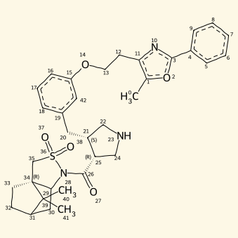 Cc1oc(-c2ccccc2)nc1CCOc1cccc(C[C@@H]2CNC[C@@H]2C(=O)N2C3CC4CC[C@@]3(CS2(=O)=O)C4(C)C)c1